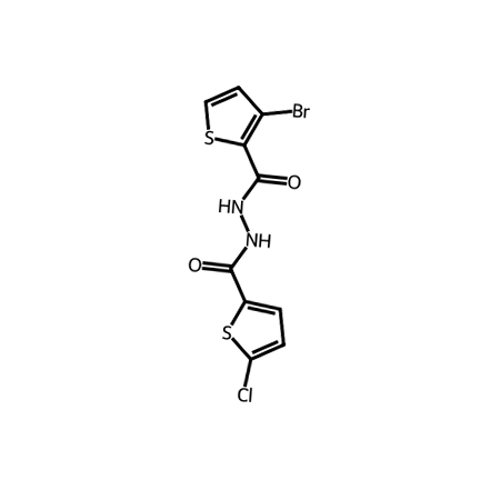 O=C(NNC(=O)c1sccc1Br)c1ccc(Cl)s1